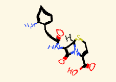 Nc1ccccc1CC(=O)NC1C(=O)N2C(C(=O)O)=CCS[C@H]12